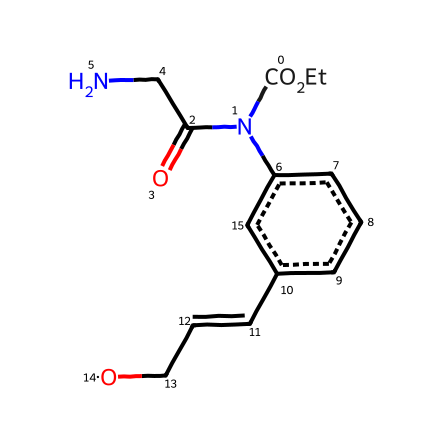 CCOC(=O)N(C(=O)CN)c1cccc(C=CC[O])c1